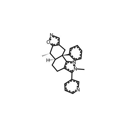 C[C@@H]1c2oncc2C[C@]2(c3ccccc3)c3nn(C)c(-c4cccnc4)c3CC[C@@H]12